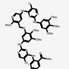 CNC(=O)c1ccccc1Nc1nc(Nc2cc(OC)c(OC)c(OCc3cc(Nc4nc(Nc5cc(OC)c(OC)c(OC)c5)ncc4Cl)cnc3OC)c2)ncc1C(F)(F)F